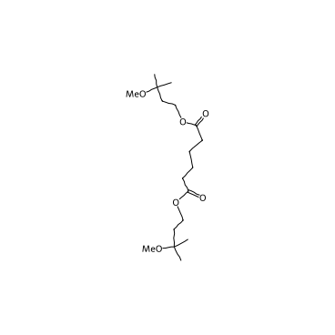 COC(C)(C)CCOC(=O)CCCCC(=O)OCCC(C)(C)OC